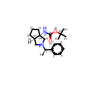 C[C@H](c1ccccc1)N1C[C@H]2CCC[C@@]2(NC(=O)OC(C)(C)C)C1